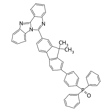 CC1(C)c2cc(-c3ccc(P(=O)(c4ccccc4)c4ccccc4)cc3)ccc2-c2ccc(-c3nc4ccccc4c4nc5ccccc5n34)cc21